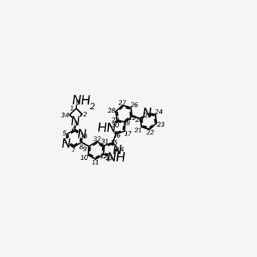 NC1CN(c2cncc(-c3ccc4[nH]nc(-c5cc6c(-c7ccccn7)cccc6[nH]5)c4c3)n2)C1